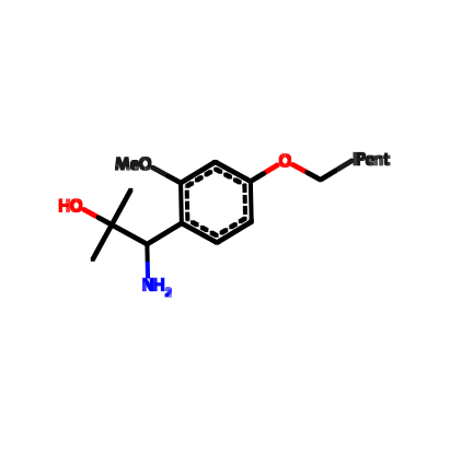 CCCC(C)COc1ccc(C(N)C(C)(C)O)c(OC)c1